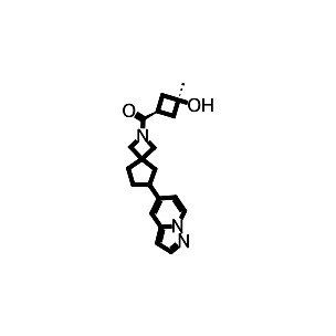 C[C@]1(O)C[C@@H](C(=O)N2CC3(CCC(c4ccn5nccc5c4)C3)C2)C1